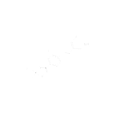 CC(C)(C)NC(=O)c1ccc(OCC(=CF)CN)cc1.Cl